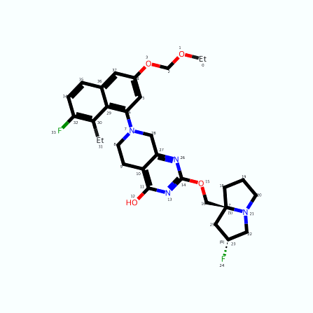 CCOCOc1cc(N2CCc3c(O)nc(OC[C@@]45CCCN4C[C@H](F)C5)nc3C2)c2c(CC)c(F)ccc2c1